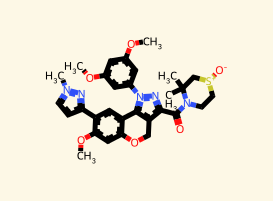 COc1cc(OC)cc(-n2nc(C(=O)N3CC[S+]([O-])CC3(C)C)c3c2-c2cc(-c4ccn(C)n4)c(OC)cc2OC3)c1